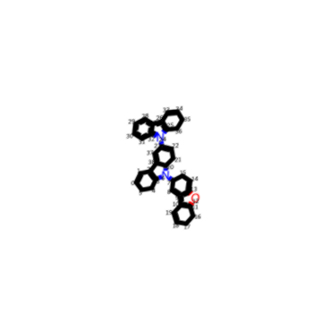 C1=CC2=C(CC1)N(C1C=c3c4c(oc3=CC1)CCC=C4)C1CC=C(n3c4c(c5ccccc53)C=CCC4)C=C21